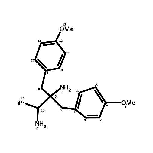 COc1ccc(CC(N)(Cc2ccc(OC)cc2)C(N)C(C)C)cc1